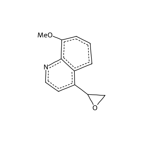 COc1cccc2c(C3CO3)ccnc12